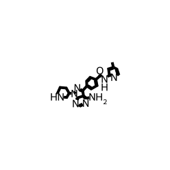 Cc1ccnc(NC(=O)c2ccc(-c3nn(C4CCCNC4)c4ncnc(N)c34)cc2)c1